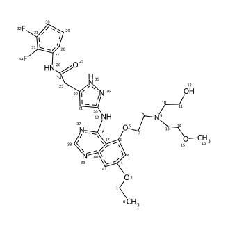 CCOc1cc(OCCN(CCO)CCOC)c2c(Nc3cc(CC(=O)Nc4cccc(F)c4F)[nH]n3)ncnc2c1